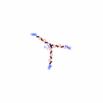 [N-]=[N+]=NCCOCCOCCOCC(N)(COCCOCCOCCN=[N+]=[N-])COCCOCCON=[N+]=[N-]